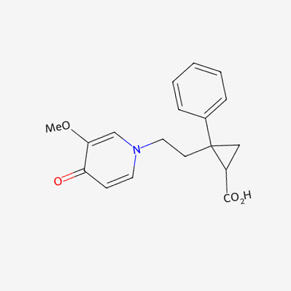 COc1cn(CCC2(c3ccccc3)CC2C(=O)O)ccc1=O